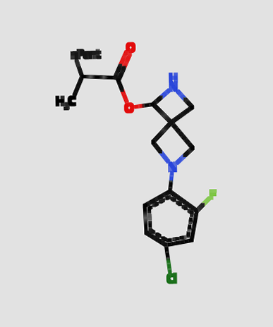 CCCCCC(C)C(=O)OC1NCC12CN(c1ccc(Cl)cc1F)C2